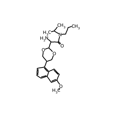 CCCN(C(=O)C(N)C1OCC(c2cccc3cc(OC)ccc23)CO1)C(C)C